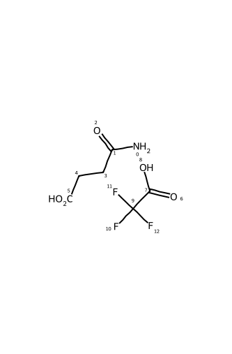 NC(=O)CCC(=O)O.O=C(O)C(F)(F)F